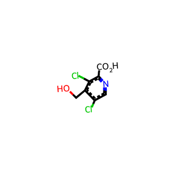 O=C(O)c1ncc(Cl)c(CO)c1Cl